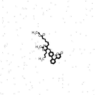 CCCCc1nc(C)nc(/C=C\CCCC(=O)OCC)c1Cc1ccc(-c2ccccc2-c2ccc(=O)on2)cc1